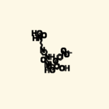 O=C(O)NCCCCN1CCC(NC(=O)c2cc(-c3c(O)cc(O)cc3Oc3ccc([N+](=O)[O-])cc3)on2)CC1